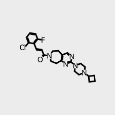 O=C(C=Cc1c(F)cccc1Cl)N1CCc2cnc(N3CCN(C4CCC4)CC3)nc2CC1